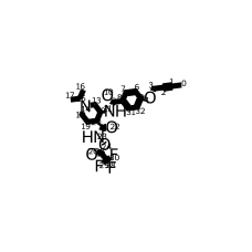 CC#CCOc1ccc(C(=O)N[C@@H]2CN(C(C)C)CC[C@@H]2C(=O)NOC(=O)C(F)(F)F)cc1